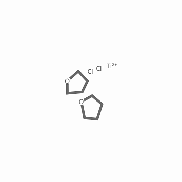 C1CCOC1.C1CCOC1.[Cl-].[Cl-].[Ti+2]